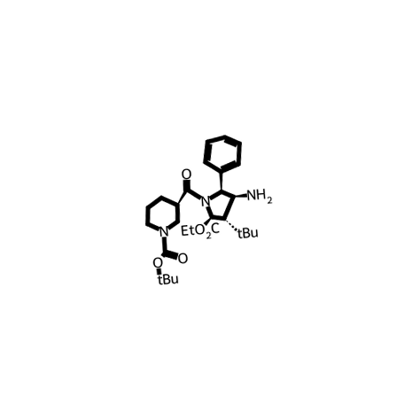 CCOC(=O)[C@@H]1[C@@H](C(C)(C)C)[C@H](N)[C@H](c2ccccc2)N1C(=O)[C@@H]1CCCN(C(=O)OC(C)(C)C)C1